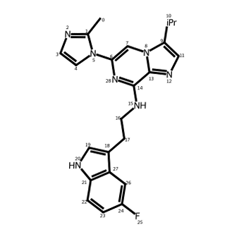 Cc1nccn1-c1cn2c(C(C)C)cnc2c(NCCc2c[nH]c3ccc(F)cc23)n1